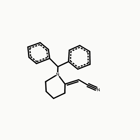 N#CC=C1CCCCN1C(c1ccccc1)c1ccccc1